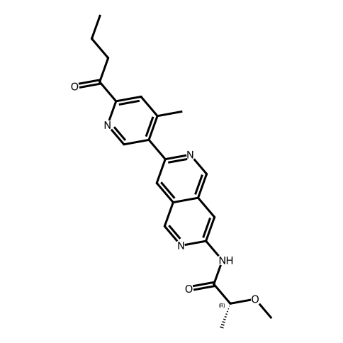 CCCC(=O)c1cc(C)c(-c2cc3cnc(NC(=O)[C@@H](C)OC)cc3cn2)cn1